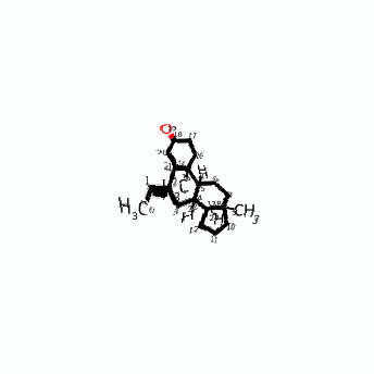 CC=C1C[C@@H]2[C@@H](CC[C@]3(C)CCC[C@@H]23)[C@@]2(C)CCC(=O)C=C12